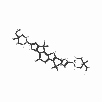 Cc1cc2c3c(sc2c2c1-c1sc(B4OCC(C)(CO)CO4)cc1C2(C)C)-c1sc(B2OCC(C)(CO)CO2)cc1C3(C)C